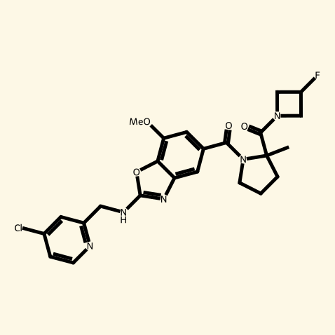 COc1cc(C(=O)N2CCCC2(C)C(=O)N2CC(F)C2)cc2nc(NCc3cc(Cl)ccn3)oc12